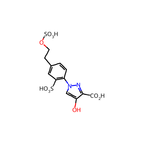 O=C(O)c1nn(-c2ccc(CCOS(=O)(=O)O)cc2S(=O)(=O)O)cc1O